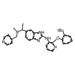 CC(c1ccc2nc(Nc3cccnc3Oc3ccccc3C(C)(C)C)[nH]c2c1)N(C)Cc1ccncc1